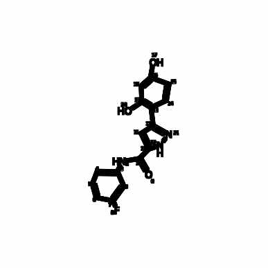 O=C(Nc1cccc(F)c1)c1cc(-c2ccc(O)cc2O)n[nH]1